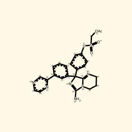 CC(=O)OCS(=O)(=O)Oc1ccc(C2(c3cccc(-c4cnccn4)c3)N=C(N)N3CCCN=C32)cc1